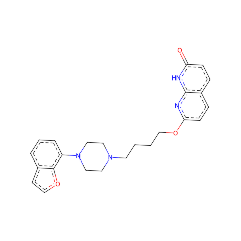 O=c1ccc2ccc(OCCCCN3CCN(c4cccc5ccoc45)CC3)nc2[nH]1